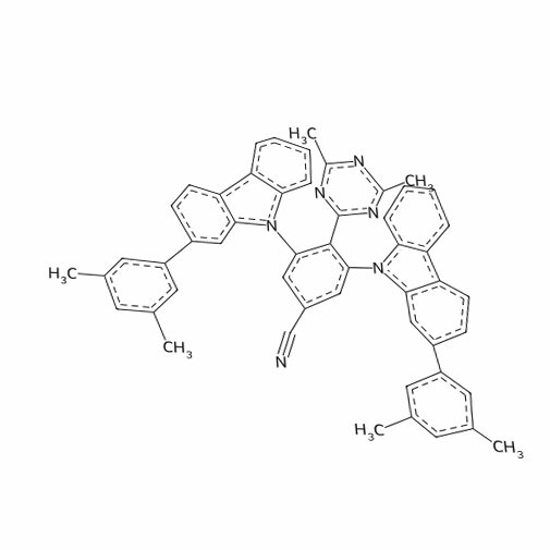 Cc1cc(C)cc(-c2ccc3c4ccccc4n(-c4cc(C#N)cc(-n5c6ccccc6c6ccc(-c7cc(C)cc(C)c7)cc65)c4-c4nc(C)nc(C)n4)c3c2)c1